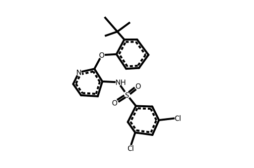 CC(C)(C)c1ccccc1Oc1ncccc1NS(=O)(=O)c1cc(Cl)cc(Cl)c1